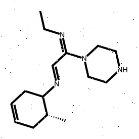 CC/N=C(\C=NC1CC=CC[C@H]1C)N1CCNCC1